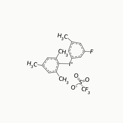 Cc1cc(F)cc([I+]c2c(C)cc(C)cc2C)c1.O=S(=O)([O-])C(F)(F)F